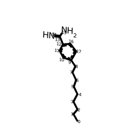 CCCCCCCCCc1ccc(C(=N)N)cc1